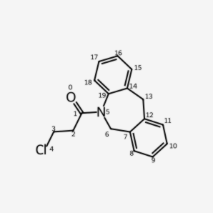 O=C(CCCl)N1Cc2ccccc2Cc2ccccc21